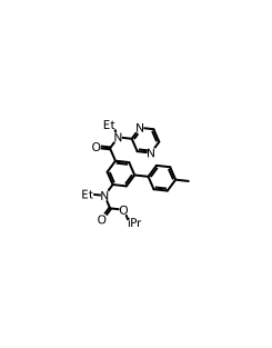 CCN(C(=O)OC(C)C)c1cc(C(=O)N(CC)c2cnccn2)cc(-c2ccc(C)cc2)c1